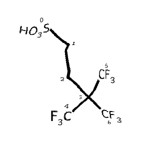 O=S(=O)(O)CCC(C(F)(F)F)(C(F)(F)F)C(F)(F)F